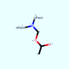 CCCCCN(CCCCC)COC(C)[O]